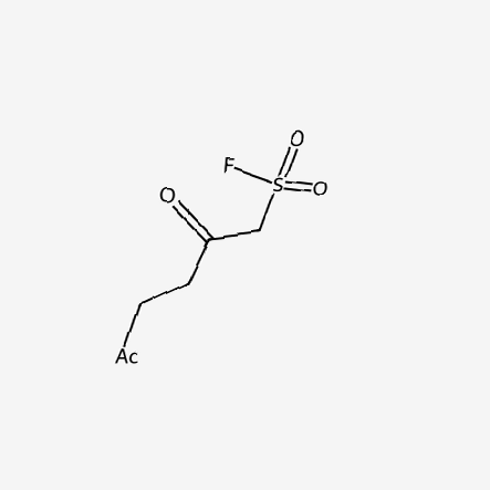 CC(=O)CCC(=O)CS(=O)(=O)F